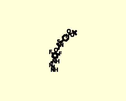 CC(C)(C)OC(=O)N1CCC(c2nc(COc3c(F)cc(N/C=N\N=N)cc3F)cs2)CC1